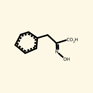 O=C(O)C(Cc1ccccc1)=NO